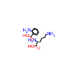 NCCCCC(N)C(=O)O.Nc1ccccc1C(=O)O